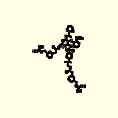 C=C(/N=C(OCCOC(=O)Cc1cccc(CON(O)O)c1)\C(Oc1ccccc1OC)=C(/N)NS(=O)(=O)c1ccc(C(C)(C)COC(=O)Cc2cccc(CON(O)O)c2)cc1)c1ncccn1